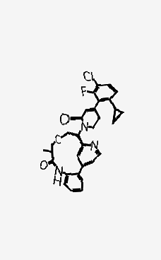 CC1CCCC(N2CCC(c3c(C4CC4)ccc(Cl)c3F)=CC2=O)c2cc(ccn2)-c2ccccc2NC1=O